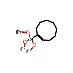 CC(C)O[Si](OC(C)C)(OC(C)C)C1=CCCCCCCC1